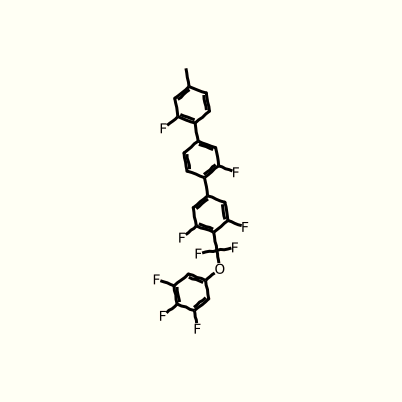 Cc1ccc(-c2ccc(-c3cc(F)c(C(F)(F)Oc4cc(F)c(F)c(F)c4)c(F)c3)c(F)c2)c(F)c1